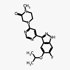 CC(C)Oc1cc2c(-c3cc(N4CCN(C)C(=O)C4)ncn3)n[nH]c2cc1F